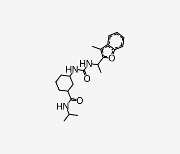 Cc1c(C(C)NC(=O)NC2CCCC(C(=O)NC(C)C)C2)oc2ccccc12